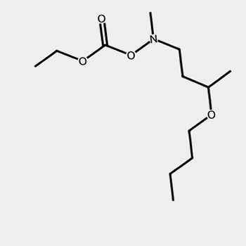 CCCCOC(C)CCN(C)OC(=O)OCC